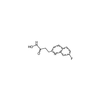 O=C(CCc1ccc2ccc(F)cc2n1)NO